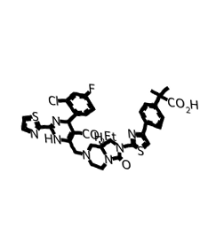 CCOC(=O)C1=C(CN2CCN3C(=O)N(c4nc(-c5ccc(C(C)(C)C(=O)O)cc5)cs4)C[C@@H]3C2)NC(c2nccs2)=NC1c1ccc(F)cc1Cl